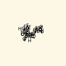 CCCC(NC(=O)[C@@H]1C[C@@H](OC(C)(C)C)CN1C(=O)[C@@H](NC(=O)c1c(F)c(F)c(F)c(F)c1C(=O)O)C1CCCCC1)C(=O)C(=O)NCC(=O)NC(C(N)=O)c1cc(OC)cc(OC)c1